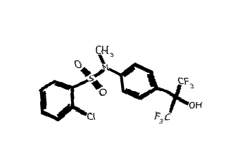 CN(c1ccc(C(O)(C(F)(F)F)C(F)(F)F)cc1)S(=O)(=O)c1ccccc1Cl